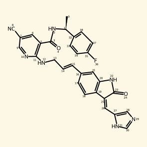 C[C@H](NC(=O)c1cc(C#N)cnc1NC/C=C/c1ccc2c(c1)NC(=O)/C2=C\c1cnc[nH]1)c1ccc(F)cc1